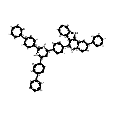 c1ccc(-c2ccc(-c3cc(-c4ccc(-c5nc6ccc(-c7ccccc7)cc6c6oc7ccccc7c56)cc4)nc(-c4ccc(-c5ccccc5)cc4)n3)cc2)cc1